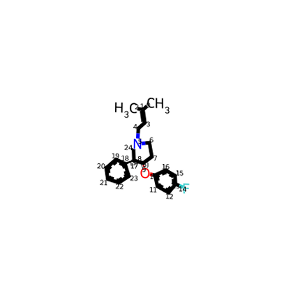 CC(C)=CCN1CC[C@H](Oc2ccc(F)cc2)[C@@H](c2ccccc2)C1